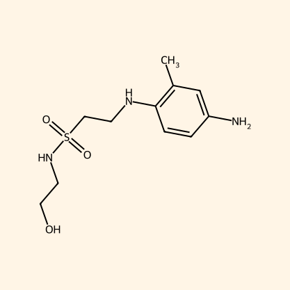 Cc1cc(N)ccc1NCCS(=O)(=O)NCCO